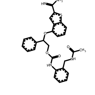 CC(=O)NCc1ccccc1NC(=O)OCC(Oc1cccc2sc(C(=N)N)cc12)c1ccccc1